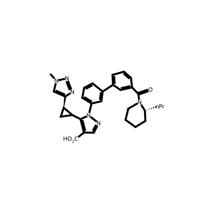 CCC[C@@H]1CCCCN1C(=O)c1cccc(-c2cccc(-n3ncc(C(=O)O)c3C3C[C@H]3c3cn(C)nn3)c2)c1